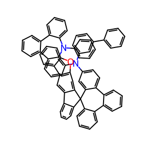 c1ccc(-c2cccc(N(c3ccc4c(c3)C3(c5ccccc5-c5ccccc5-4)c4ccccc4-c4cc5c(cc43)oc3ccccc35)c3cccc4c3N(c3ccccc3)c3ccccc3-c3ccccc3-4)c2)cc1